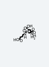 N[C@]1(C(=O)O)C[C@@H](C(=O)O)N(C(=O)NCCCC(=O)O)C1